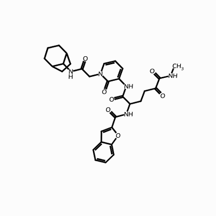 CNC(=O)C(=O)CCC(NC(=O)c1cc2ccccc2o1)C(=O)Nc1cccn(CC(=O)NC2C3CCCC2CC3)c1=O